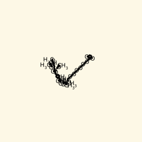 COCCN(CCN(CCOC)C(=O)C(C)C)C(=O)OCc1ccc(NC(=O)[C@H](C)NC(=O)[C@@H](NC(=O)CCOCCOCCOCCOCCOCCOCCN2C(=O)C=CC2=O)C(C)C)cc1